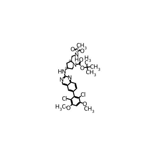 COc1cc(OC)c(Cl)c(-c2ccc3nc(N[C@H]4C[C@@H](CNS(C)(=O)=O)N(C(=O)OC(C)(C)C)C4)ncc3c2)c1Cl